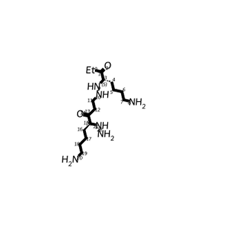 CCC(=O)[C@H](CCCCN)NNCCC(=O)[C@H](CCCCN)NN